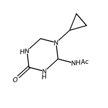 CC(=O)NC1NC(=O)NCN1C1CC1